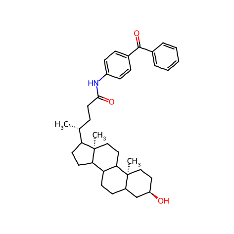 C[C@H](CCC(=O)Nc1ccc(C(=O)c2ccccc2)cc1)C1CCC2C3CCC4C[C@H](O)CC[C@]4(C)C3CC[C@@]21C